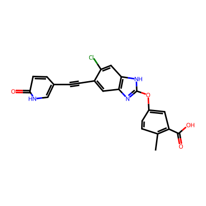 Cc1ccc(Oc2nc3cc(C#Cc4ccc(=O)[nH]c4)c(Cl)cc3[nH]2)cc1C(=O)O